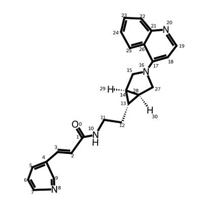 O=C(/C=C/c1cccnc1)NCC[C@@H]1[C@H]2CN(c3ccnc4ccccc34)C[C@@H]12